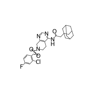 O=C(CC12CC3CC(CC(C3)C1)C2)Nc1ncnc2c1CCN(S(=O)(=O)c1ccc(F)cc1Cl)C2